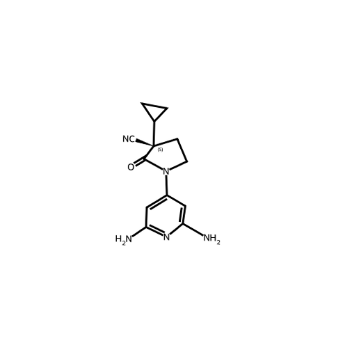 N#C[C@@]1(C2CC2)CCN(c2cc(N)nc(N)c2)C1=O